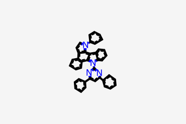 c1ccc(-c2cc(-c3ccccc3)nc(-n3c4ccccc4c4c5c(ccn5-c5ccccc5)c5ccccc5c43)n2)cc1